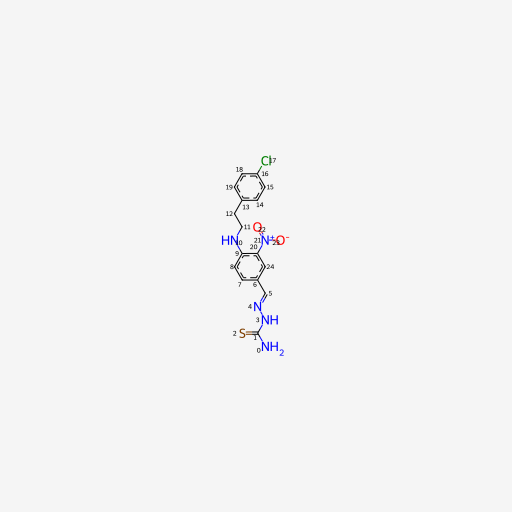 NC(=S)NN=Cc1ccc(NCCc2ccc(Cl)cc2)c([N+](=O)[O-])c1